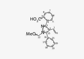 C=Cc1c(-c2ccccc2C(=O)O)nn(COC)c1-c1ccccc1